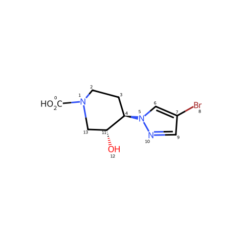 O=C(O)N1CC[C@@H](n2cc(Br)cn2)[C@H](O)C1